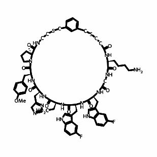 COc1ccc(C[C@@H]2NC(=O)[C@H](CC3=NC=NC3)NC(=O)[C@H](CC(=O)O)NC(=O)[C@H](Cc3c[nH]c4ccc(F)cc34)NC(=O)[C@H](Cc3c[nH]c4ccc(F)cc34)NC(=O)CNC(=O)[C@H](CCCCN)NC(=O)CCSCc3cccc(c3)CSCCNC(=O)[C@]3(C)CCCN3C2=O)cc1